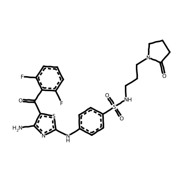 Nc1nc(Nc2ccc(S(=O)(=O)NCCCN3CCCC3=O)cc2)sc1C(=O)c1c(F)cccc1F